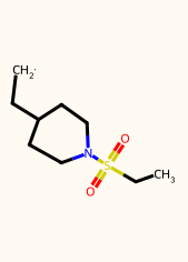 [CH2]CC1CCN(S(=O)(=O)CC)CC1